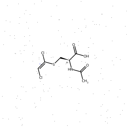 CC(=O)N[C@@H](CS/C(Cl)=C\Cl)C(=O)O